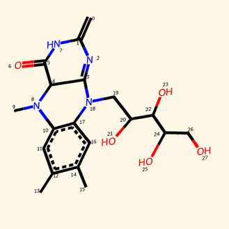 C=C1N=C2C(C(=O)N1)N(C)c1cc(C)c(C)cc1N2CC(O)C(O)C(O)CO